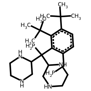 CC(C)(C)c1ccc(CP)c(C(P)(C2CNCCN2)C2CNCCN2)c1C(C)(C)C